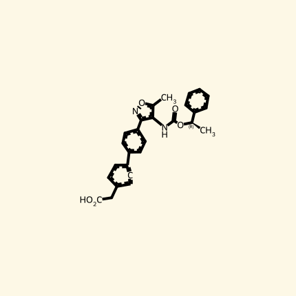 Cc1onc(-c2ccc(-c3ccc(CC(=O)O)cc3)cc2)c1NC(=O)O[C@H](C)c1ccccc1